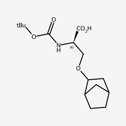 CC(C)(C)OC(=O)N[C@H](COC1CC2CCC1C2)C(=O)O